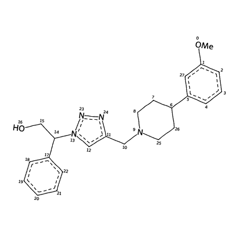 COc1cccc(C2CCN(Cc3cn(C(CO)c4ccccc4)nn3)CC2)c1